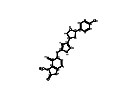 Cn1c(=O)oc2ncn(Cc3nc(C4COC(c5ccc(Cl)cc5)C4)no3)c(=O)c21